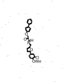 COc1ccc(-c2ccc(/C=N/NC(=O)COc3ccc(-c4ccccc4)cc3)o2)cc1Cl